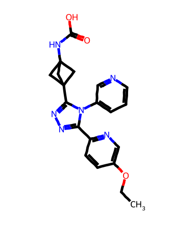 CCOc1ccc(-c2nnc(C34CC(NC(=O)O)(C3)C4)n2-c2cccnc2)nc1